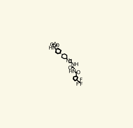 CS(=O)(=O)Nc1ccc([C@H]2CC[C@@H](N3CC(NC(=O)CNC(=O)c4cccc(C(F)(F)F)c4)C3)CC2)cc1